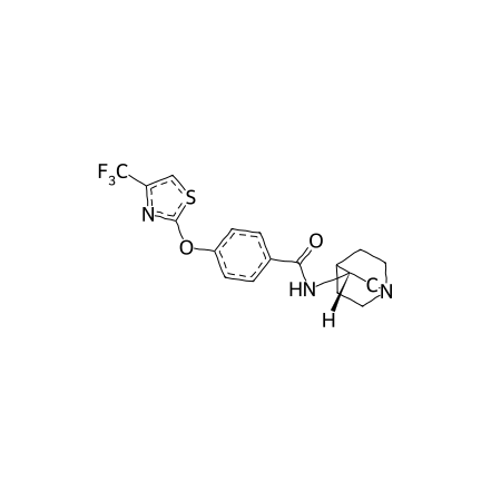 O=C(N[C@H]1CN2CCC1CC2)c1ccc(Oc2nc(C(F)(F)F)cs2)cc1